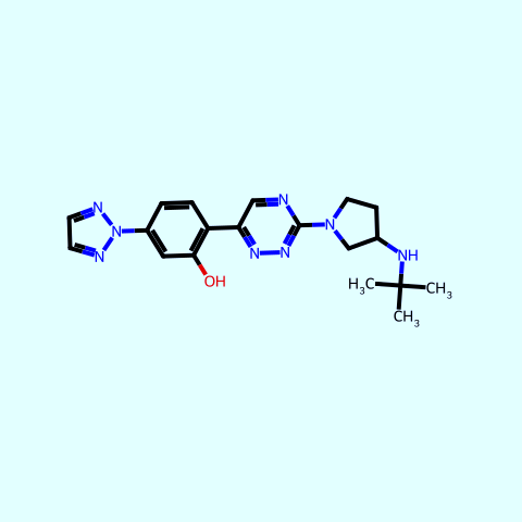 CC(C)(C)NC1CCN(c2ncc(-c3ccc(-n4nccn4)cc3O)nn2)C1